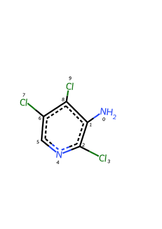 Nc1c(Cl)ncc(Cl)c1Cl